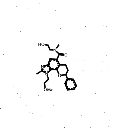 COCCn1c(C)nc2cc(C(=O)N(C)CCO)c3c(c21)OC(c1ccccc1)CC3